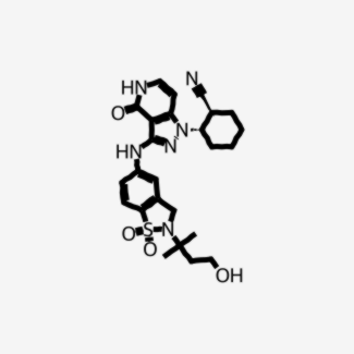 CC(C)(CCO)N1Cc2cc(Nc3nn([C@H]4CCCC[C@@H]4C#N)c4cc[nH]c(=O)c34)ccc2S1(=O)=O